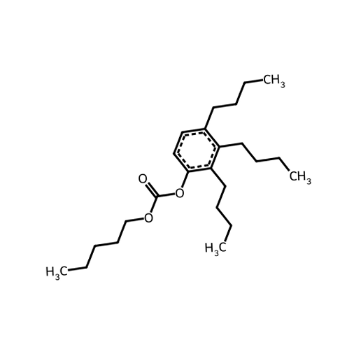 CCCCCOC(=O)Oc1ccc(CCCC)c(CCCC)c1CCCC